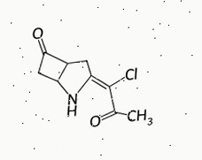 CC(=O)C(Cl)=C1CC2C(=O)CC2N1